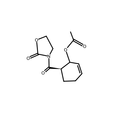 CC(=O)OC1C=CCC[C@H]1C(=O)N1CCOC1=O